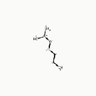 N#CCCOOP(N)O